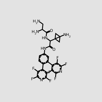 NCC(N)C(=O)NC(C(=O)Nc1ccc(-c2c(F)c(F)nc(F)c2F)c(-c2c(F)c(F)nc(F)c2F)c1)C12CC1(N)C2